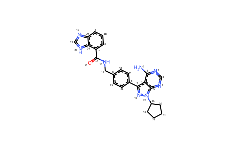 Nc1ncnc2c1c(-c1ccc(CNC(=O)c3cccc4nc[nH]c34)cc1)nn2C1CCCC1